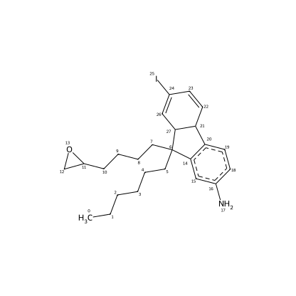 CCCCCCC1(CCCCC2CO2)c2cc(N)ccc2C2C=CC(I)=CC21